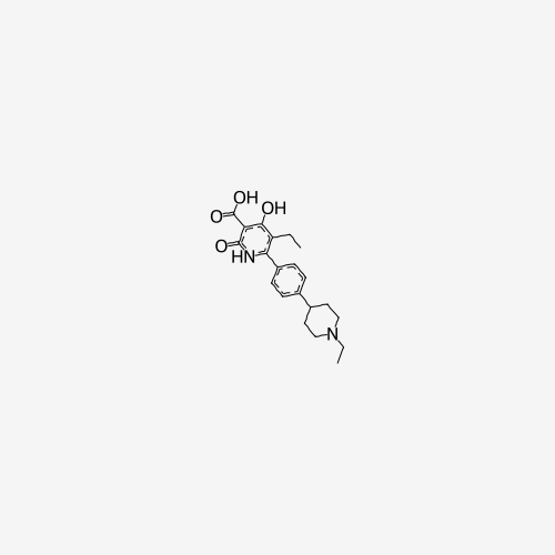 CCc1c(-c2ccc(C3CCN(CC)CC3)cc2)[nH]c(=O)c(C(=O)O)c1O